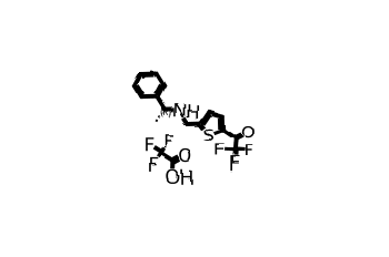 C[C@@H](NCc1ccc(C(=O)C(F)(F)F)s1)c1ccccc1.O=C(O)C(F)(F)F